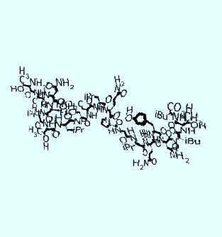 CC[C@H](C)[C@H](NC(=O)[C@@H](NC(=O)[C@@H](NC(=O)[C@H](CC(N)=O)NC(=O)[C@H](Cc1ccc(O)cc1)NC(=O)[C@H](CCC(N)=O)NC(=O)[C@@H](NC(=O)CNC(=O)[C@@H]1CCCN1C(=O)[C@H](CCC(N)=O)NC(=O)[C@H](CC(C)C)NC(=O)[C@H](CC(=O)O)NC(=O)[C@H](CO)NC(=O)[C@H](CC(C)C)NC(=O)[C@@H](NC(=O)[C@@H](NC(=O)[C@H](CO)NC(=O)[C@H](CC(N)=O)NC(=O)[C@H](C)NC(=O)[C@@H](N)[C@@H](C)O)C(C)C)[C@@H](C)O)C(C)C)[C@@H](C)CC)[C@@H](C)O)C(=O)O